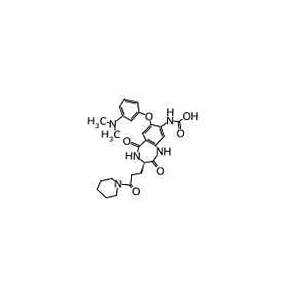 CN(C)c1cccc(Oc2cc3c(cc2NC(=O)O)NC(=O)[C@@H](CCC(=O)N2CCCCC2)NC3=O)c1